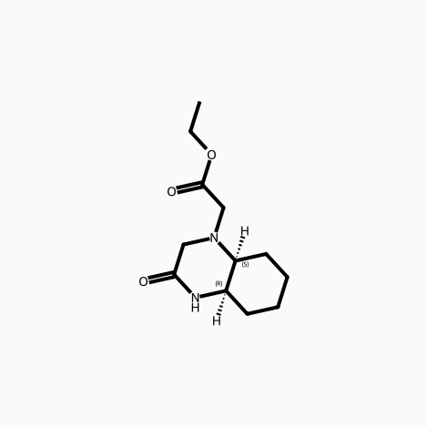 CCOC(=O)CN1CC(=O)N[C@@H]2CCCC[C@@H]21